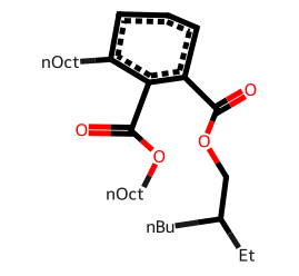 CCCCCCCCOC(=O)c1c(CCCCCCCC)cccc1C(=O)OCC(CC)CCCC